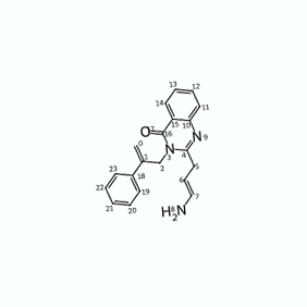 C=C(Cn1c(CC=CN)nc2ccccc2c1=O)c1ccccc1